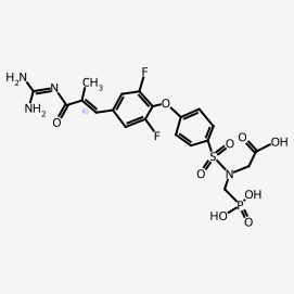 C/C(=C\c1cc(F)c(Oc2ccc(S(=O)(=O)N(CC(=O)O)CP(=O)(O)O)cc2)c(F)c1)C(=O)N=C(N)N